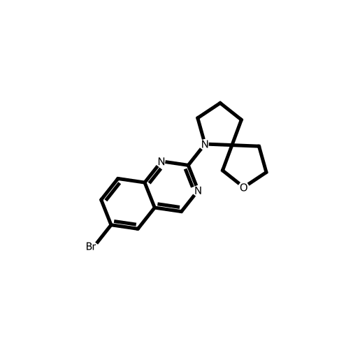 Brc1ccc2nc(N3CCCC34CCOC4)ncc2c1